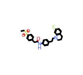 CCS(=O)(=O)c1ccc(CC(=O)Nc2ccc(CCN3CCCc4ccc(F)cc43)cc2)cc1